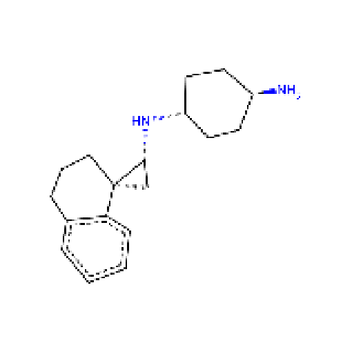 N[C@H]1CC[C@H](N[C@@H]2C[C@]23CCCc2ccccc23)CC1